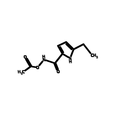 CCc1ccc(C(=O)NOC(C)=O)[nH]1